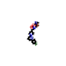 O=C(O)N(CCC1CCN(c2cccc(-c3ccc(F)cc3)n2)CC1)Cc1cncs1